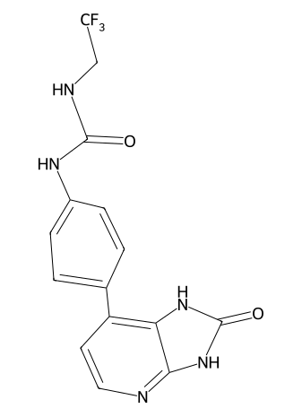 O=C(NCC(F)(F)F)Nc1ccc(-c2ccnc3[nH]c(=O)[nH]c23)cc1